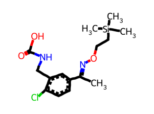 CC(=NOCC[Si](C)(C)C)c1ccc(Cl)c(CNC(=O)O)c1